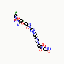 CC(C)(C1CCN(c2ncc(-n3cnc4ccc(Oc5c(F)ccc(NS(=O)(=O)N6CC[C@@H](F)C6)c5C#N)cc4c3=O)cn2)CC1)N1CCN(c2ccc3c(c2)C(=O)N(C2CCC(=O)NC2=O)C3=O)CC1